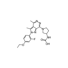 CCOc1ccc(-n2nc3c(N4CCC(NC(=O)O)C4)nnc(C)c3c2C)c(F)c1